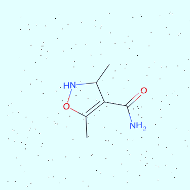 CC1=C(C(N)=O)C(C)NO1